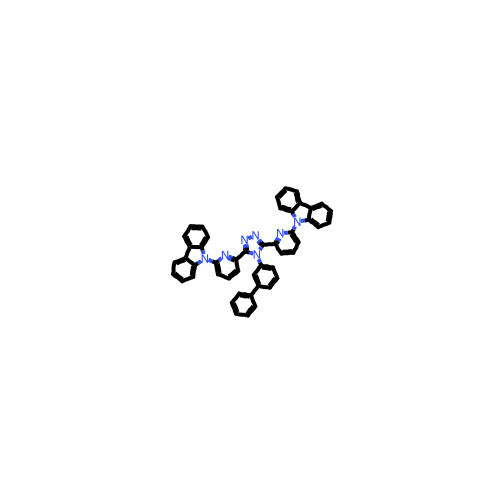 c1ccc(-c2cccc(-n3c(-c4cccc(-n5c6ccccc6c6ccccc65)n4)nnc3-c3cccc(-n4c5ccccc5c5ccccc54)n3)c2)cc1